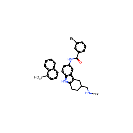 CCCNCC1CCc2[nH]c3ccc(NC(=O)c4cccc(CC)c4)cc3c2C1.O=S(=O)(O)c1cccc2ccccc12